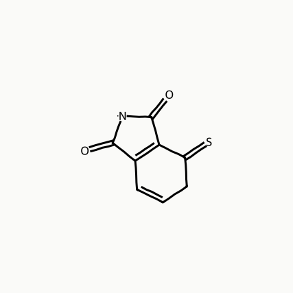 O=C1[N]C(=O)C2=C1C=CCC2=S